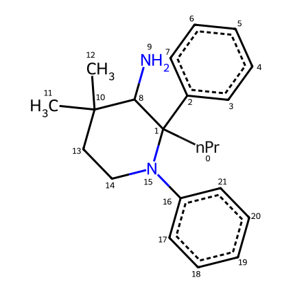 CCCC1(c2ccccc2)C(N)C(C)(C)CCN1c1ccccc1